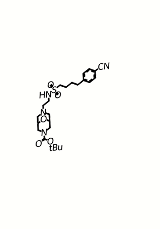 CC(C)(C)OC(=O)N1CC2CN(CCNS(=O)(=O)CCCCc3ccc(C#N)cc3)CC(C1)O2